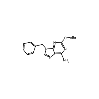 CCCCOc1nc(N)c2ncn(Cc3ccccc3)c2n1